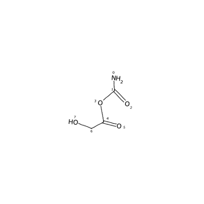 NC(=O)OC(=O)CO